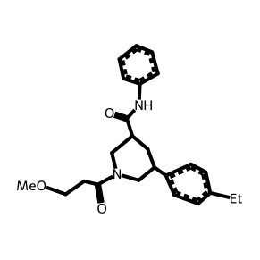 CCc1ccc(C2CC(C(=O)Nc3ccccc3)CN(C(=O)CCOC)C2)cc1